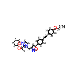 CC(OC1CCCCO1)c1nccn1Cc1cc(-c2ccc(C#Cc3ccc(OCC#N)cc3)cc2)on1